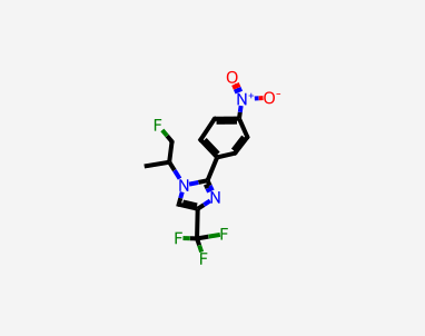 CC(CF)n1cc(C(F)(F)F)nc1-c1ccc([N+](=O)[O-])cc1